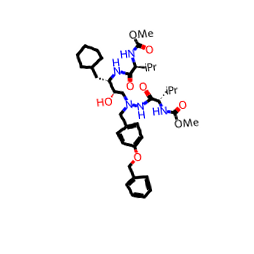 COC(=O)N[C@H](C(=O)N[C@@H](CC1CCCCC1)[C@@H](O)CN(Cc1ccc(OCc2ccccc2)cc1)NC(=O)[C@@H](NC(=O)OC)C(C)C)C(C)C